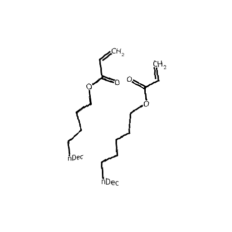 C=CC(=O)OCCCCCCCCCCCCCC.C=CC(=O)OCCCCCCCCCCCCCCC